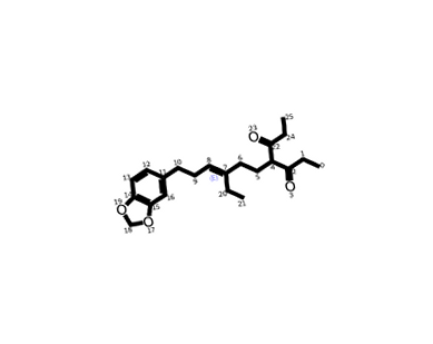 CCC(=O)C(CC/C(=C/CCc1ccc2c(c1)OCO2)CC)C(=O)CC